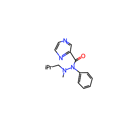 CC(C)CN(C)N(C(=O)c1cnccn1)c1ccccc1